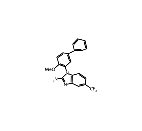 COc1ccc(-c2ccccc2)cc1-n1c(N)nc2cc(C(F)(F)F)ccc21